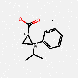 CC(C)[C@@]1(c2ccccc2)C[C@H]1C(=O)O